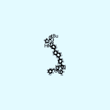 CC(C)(C)OC(=O)N1CCC[C@H]1c1nc2ccc(-c3ccc4cc(-c5ccc(-c6cnc([C@@H]7CCCN7C(=O)OCc7ccccc7)[nH]6)cc5)ccc4c3)cc2[nH]1